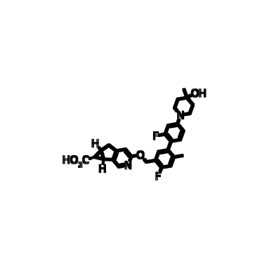 Cc1cc(F)c(COc2cc3c(cn2)[C@H]2[C@@H](C3)[C@@H]2C(=O)O)cc1-c1ccc(N2CCC(C)(O)CC2)cc1F